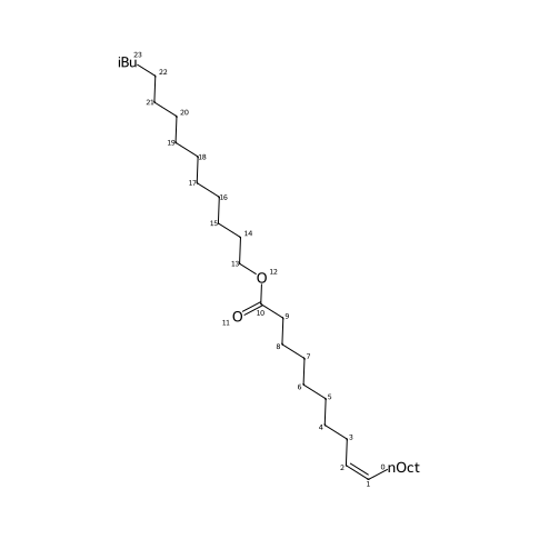 CCCCCCCC/C=C\CCCCCCCC(=O)OCCCCCCCCCCC(C)CC